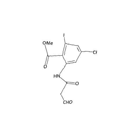 COC(=O)c1c(I)cc(Cl)cc1NC(=O)CC=O